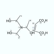 CC(O)N(C(C)O)C(C)O.O=C(O)/C=C\C(=O)O